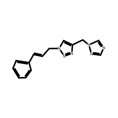 C(=Cc1ccccc1)Cn1cc(Cn2cncn2)nn1